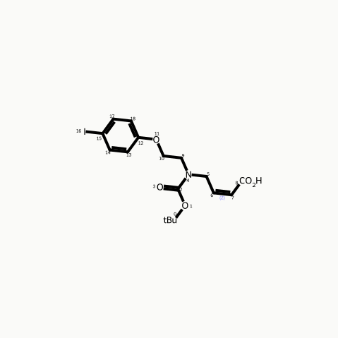 CC(C)(C)OC(=O)N(C/C=C\C(=O)O)CCOc1ccc(I)cc1